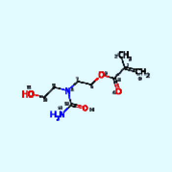 C=C(C)C(=O)OCCN(CCO)C(N)=O